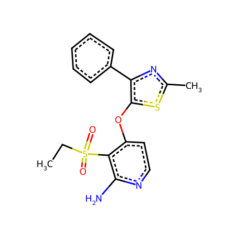 CCS(=O)(=O)c1c(Oc2sc(C)nc2-c2ccccc2)ccnc1N